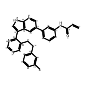 C=CC(=O)Nc1cccc(-c2cnc3[nH]cc(-c4ncncc4CCc4cccc(C)c4)c3c2)c1